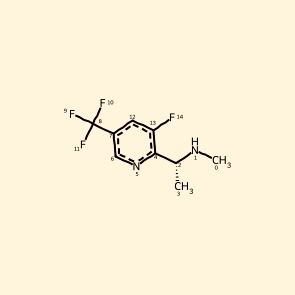 CN[C@H](C)c1ncc(C(F)(F)F)cc1F